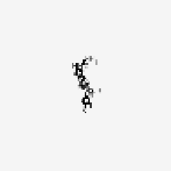 N#Cc1ccc(OP(=O)(O)CNS(=O)(=O)c2cc3cc(NC(=O)CN)ccc3s2)cc1F